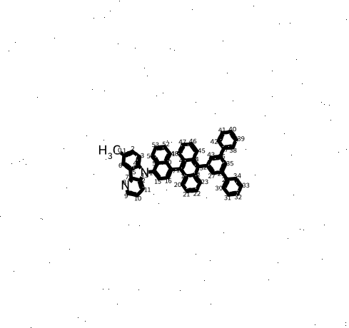 Cc1ccc2c(c1)c1ncccc1n2-c1ccc(-c2c3ccccc3c(-c3cc(-c4ccccc4)cc(-c4ccccc4)c3)c3ccccc23)c2ccccc12